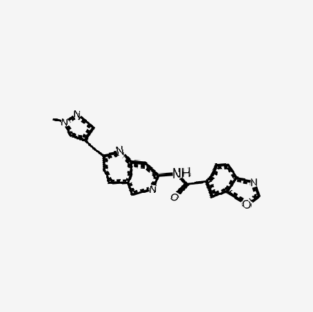 Cn1cc(-c2ccc3cnc(NC(=O)c4ccc5ncoc5c4)cc3n2)cn1